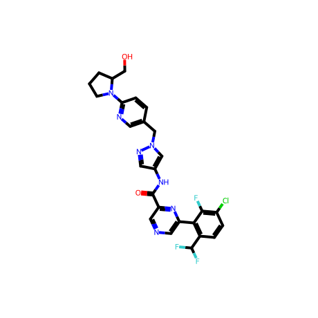 O=C(Nc1cnn(Cc2ccc(N3CCCC3CO)nc2)c1)c1cncc(-c2c(C(F)F)ccc(Cl)c2F)n1